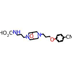 N#Cc1ccc(OCCCN2CC3CN(CCCNC(=O)O)CC(C2)O3)cc1